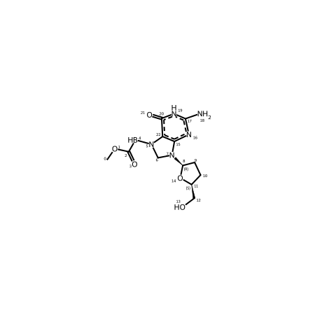 COC(=O)BN1CN([C@H]2CC[C@@H](CO)O2)c2nc(N)[nH]c(=O)c21